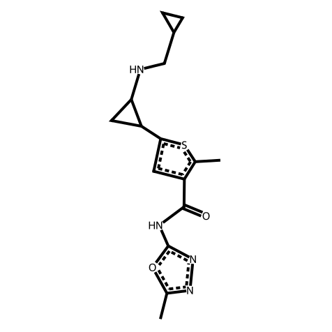 Cc1nnc(NC(=O)c2cc(C3CC3NCC3CC3)sc2C)o1